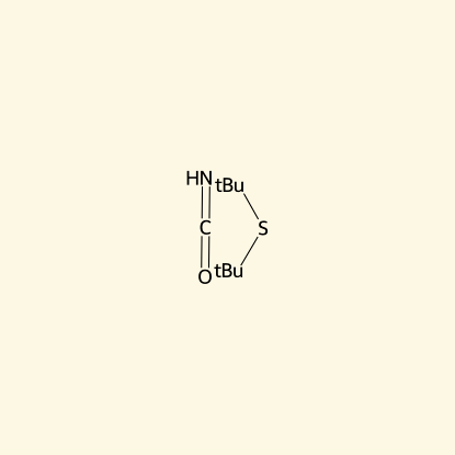 CC(C)(C)SC(C)(C)C.N=C=O